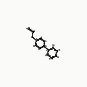 O=NCc1ccc(-c2nncnn2)cc1